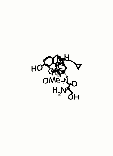 CO[C@]12C3C[C@@]4(C[C@]31CN(C)C(=O)[C@@H](N)CO)[C@H]1Cc3ccc(O)c5c3[C@@]4(CCN1CC1CC1)[C@H]2O5